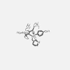 CCC(C)C(C(=O)NO)N(Cc1cccnc1)S(=O)(=O)c1ccc(O)cc1